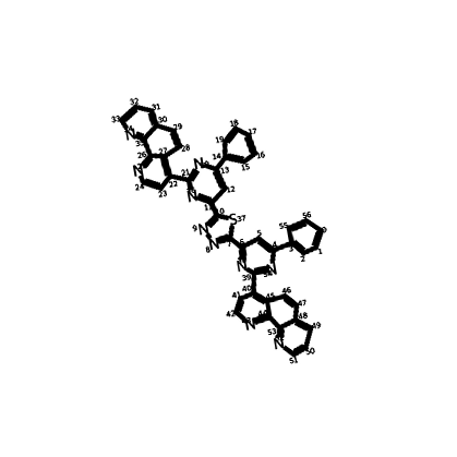 c1ccc(-c2cc(-c3nnc(-c4cc(-c5ccccc5)nc(-c5ccnc6c5ccc5cccnc56)n4)s3)nc(-c3ccnc4c3ccc3cccnc34)n2)cc1